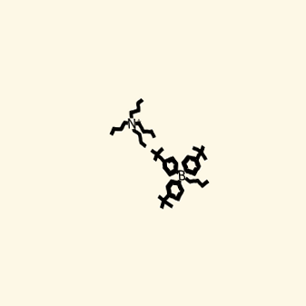 CCCC[B-](c1ccc(C(C)(C)C)cc1)(c1ccc(C(C)(C)C)cc1)c1ccc(C(C)(C)C)cc1.CCCC[N+](CCCC)(CCCC)CCCC